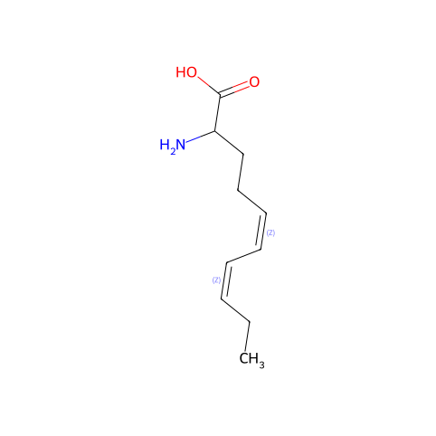 CC/C=C\C=C/CCC(N)C(=O)O